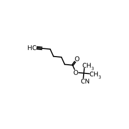 C#CCCCCC(=O)OC(C)(C)C#N